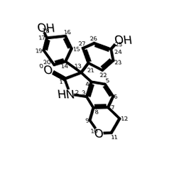 O=C1Nc2c(ccc3c2COCC3)C1(c1ccc(O)cc1)c1ccc(O)cc1